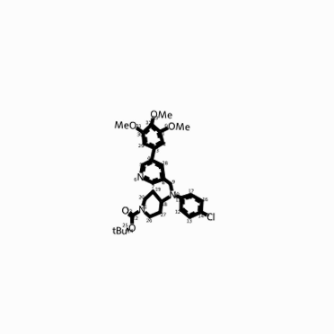 COc1cc(-c2cncc(CN(c3ccc(Cl)cc3)C3CCN(C(=O)OC(C)(C)C)CC3)c2)cc(OC)c1OC